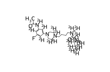 [2H]c1c(F)c([2H])c(N([2H])C(C)=O)c([2H])c1N1CC([2H])([2H])N(CCCCN(C([2H])([2H])[2H])S(=O)(=O)C([2H])([2H])C([2H])(C([2H])([2H])[2H])C([2H])([2H])[2H])C([2H])([2H])C1